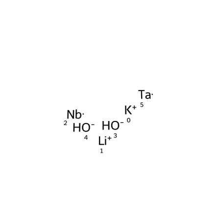 [K+].[Li+].[Nb].[OH-].[OH-].[Ta]